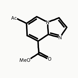 COC(=O)c1cc(C(C)=O)cn2ccnc12